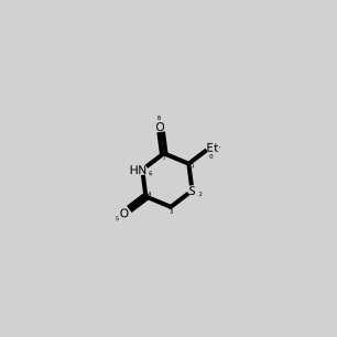 C[CH]C1SCC(=O)NC1=O